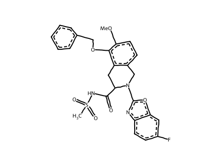 COc1ccc2c(c1OCc1ccccc1)CC(C(=O)NS(C)(=O)=O)N(c1nc3ccc(F)cc3o1)C2